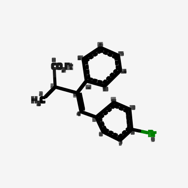 CCOC(=O)C(C)C(=Cc1ccc(Br)cc1)c1ccccc1